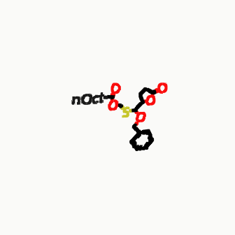 CCCCCCCCC(=O)OCSC(OCc1ccccc1)C1CCC(=O)O1